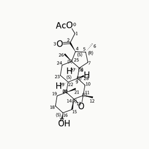 CC(=O)OCC(=O)[C@H]1[C@H](C)C[C@H]2[C@@H]3C[C@]4(C)O[C@@]45C[C@@H](O)CC[C@]5(C)[C@H]3CC[C@@]21C